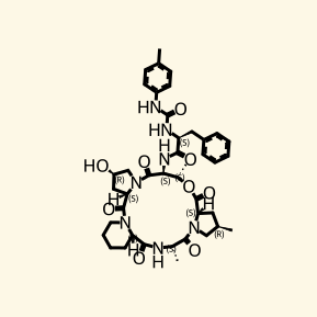 Cc1ccc(NC(=O)N[C@@H](Cc2ccccc2)C(=O)N[C@@H]2C(=O)N3C[C@H](O)C[C@H]3C(=O)N3CCCC[C@H]3C(=O)N[C@@H](C)C(=O)N3C[C@H](C)C[C@H]3C(=O)O[C@H]2C)cc1